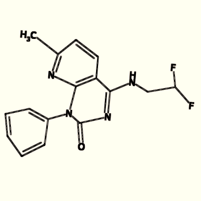 Cc1ccc2c(NCC(F)F)nc(=O)n(-c3ccccc3)c2n1